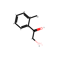 BCC(=O)c1ccccc1C